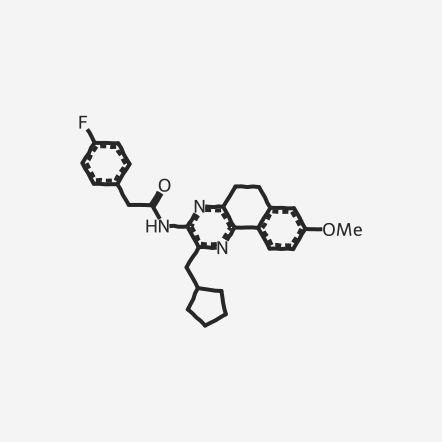 COc1ccc2c(c1)CCc1nc(NC(=O)Cc3ccc(F)cc3)c(CC3CCCC3)nc1-2